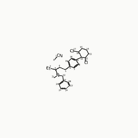 CC#N.CCC(CCc1ccc(C2C(Cl)CCCC2Cl)cc1)N(C)Cc1ccccc1